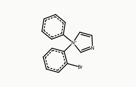 Brc1ccccc1[N+]1(c2ccccc2)C=CN=C1